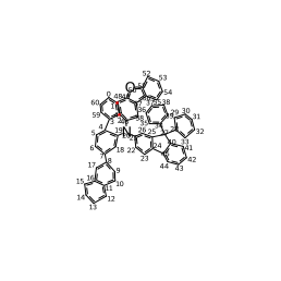 c1ccc(-c2ccc(-c3ccc4ccccc4c3)cc2N(c2ccc3c(c2)C(c2ccccc2)(c2ccccc2)c2ccccc2-3)c2ccc3oc4ccccc4c3c2)cc1